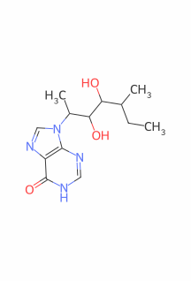 CCC(C)C(O)C(O)C(C)n1cnc2c(=O)[nH]cnc21